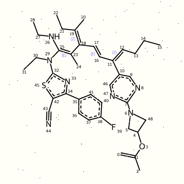 C=C(C)OC1CN(c2ncc(C(=C\CCC)/C=C/C(=C(\C)CC)C(/C)=C(\NCC)N(CC)c3nc(-c4ccc(F)cc4)c(C#N)s3)cn2)C1